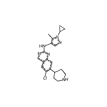 Cc1c(Nc2ncc3cc(Cl)c(C4CCNCC4)cc3n2)cnn1C1CC1